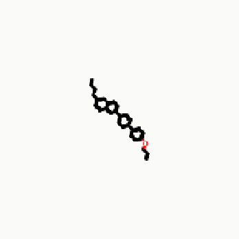 C=CCOc1ccc(-c2ccc(-c3ccc4cc(CCCC)ccc4c3)cc2)cc1